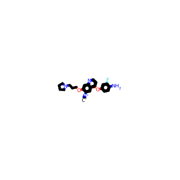 [C-]#[N+]c1cc2c(Oc3ccc(N)c(F)c3)ccnc2cc1OCCCN1CCCC1